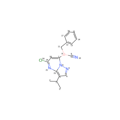 CC(C)c1cnn2c(B(C#N)Cc3ccccc3)cc(Cl)nc12